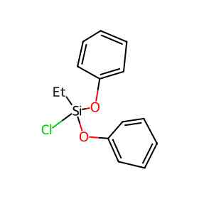 CC[Si](Cl)(Oc1ccccc1)Oc1ccccc1